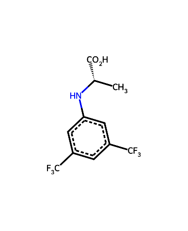 C[C@H](Nc1cc(C(F)(F)F)cc(C(F)(F)F)c1)C(=O)O